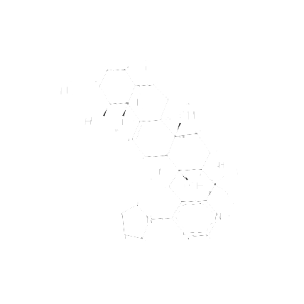 C[C@@H]1[C@H]2C3=CC[C@@H]4[C@@]5(C)Cc6c(N7CCCC7)ncnc6C(C)(C)[C@@H]5CC[C@@]4(C)[C@]3(C)CC[C@@H]2CC[C@H]1C